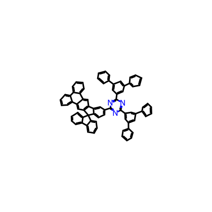 c1ccc(-c2cc(-c3ccccc3)cc(-c3nc(-c4cc(-c5ccccc5)cc(-c5ccccc5)c4)nc(-c4ccc5c(c4)-c4cc6c7ccccc7c7ccccc7c6cc4C54c5ccccc5-c5ccccc54)n3)c2)cc1